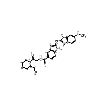 Cn1c(Nc2nc3ccc(OC(F)(F)F)cc3s2)nc2cc(C(=O)NCC(=O)N3CCCCC3CO)ccc21